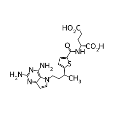 CC(CCn1ccc2nc(N)nc(N)c21)c1ccc(C(=O)N[C@@H](CCC(=O)O)C(=O)O)s1